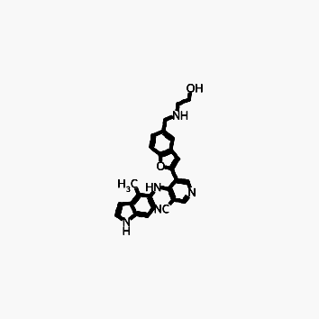 Cc1c(Nc2c(C#N)cncc2-c2cc3cc(CNCCO)ccc3o2)ccc2[nH]ccc12